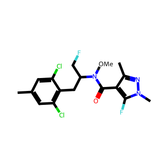 CON(C(=O)c1c(C)nn(C)c1F)C(CF)Cc1c(Cl)cc(C)cc1Cl